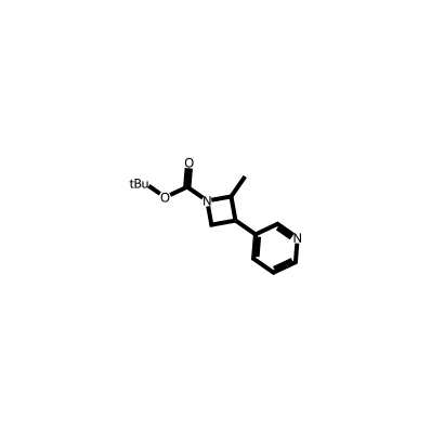 CC1C(c2cccnc2)CN1C(=O)OC(C)(C)C